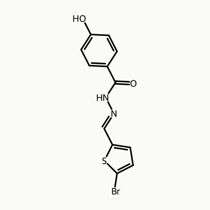 O=C(NN=Cc1ccc(Br)s1)c1ccc(O)cc1